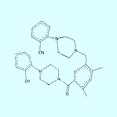 Cc1cc(C)c(C(=O)N2CCN(c3ccccc3C#N)CC2)cc1CN1CCN(c2ccccc2C#N)CC1